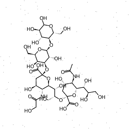 CC(=O)N[C@H]1[C@H]([C@H](O)[C@H](O)CO)O[C@@](O[C@H](CO)[C@@H](O)[C@@H]2O[C@@](O[C@H]3[C@@H](O)[C@@H](CO)O[C@@H](O[C@H]4[C@H](O)[C@@H](O)C(O)O[C@@H]4CO)[C@@H]3O)(C(=O)O)C[C@H](O)[C@H]2NC(=O)CO)(C(=O)O)C[C@@H]1O